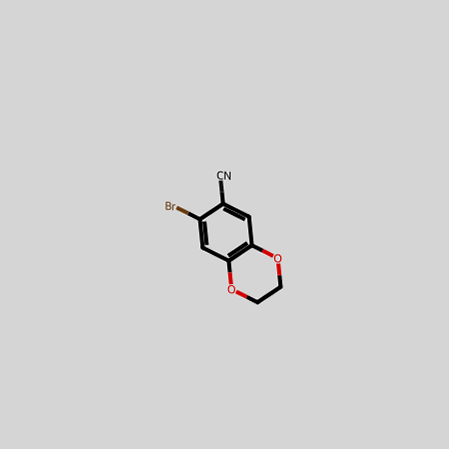 N#Cc1cc2c(cc1Br)OCCO2